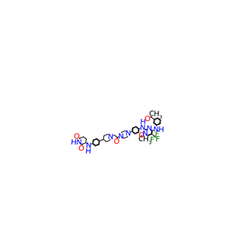 COc1cc(N2CCN(C(=O)CN3CCC(c4ccc(NC5CCC(=O)NC5=O)cc4)CC3)CC2)ccc1Nc1ncc(C(F)(F)F)c(Nc2cccc(C(C)=O)c2)n1